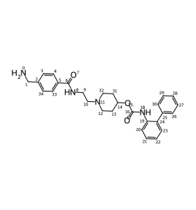 NCc1ccc(C(=O)NCCN2CCC(OC(=O)Nc3ccccc3-c3ccccc3)CC2)cc1